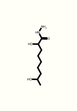 CC(O)CCCCCC(O)C(=O)NN